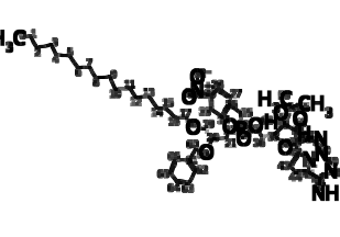 CCCCCCCCCCCCCCCCCCOC[C@H](COP(=O)(Cc1ccc([N+](=O)[O-])cc1)OC[C@H]1O[C@@](C#N)(c2ccc3c(N)ncnn23)[C@@H]2OC(C)(C)O[C@@H]21)OCc1ccccc1